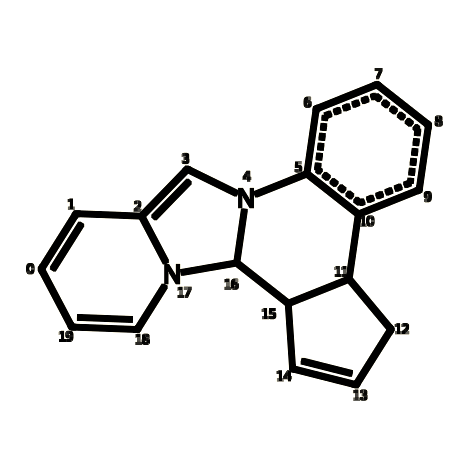 C1=CC2=CN3c4ccccc4C4CC=CC4C3N2C=C1